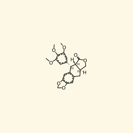 COc1cc([C@H]2c3cc4c(cc3C[C@@H]3COC(=O)[C@H]32)OCO4)cc(OC)c1OC